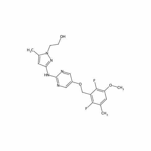 COc1cc(C)c(F)c(COc2cnc(Nc3cc(C)n(CCO)n3)nc2)c1F